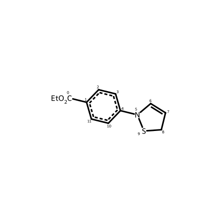 CCOC(=O)c1ccc(N2C=CCS2)cc1